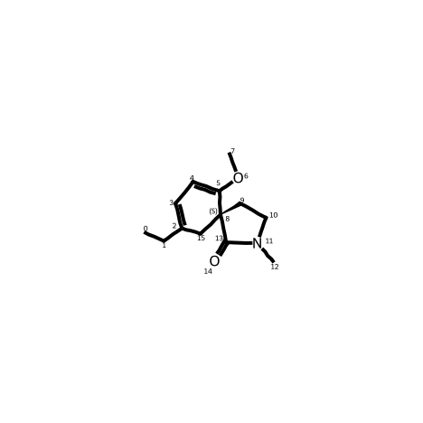 CCC1=CC=C(OC)[C@@]2(CCN(C)C2=O)C1